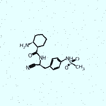 CS(=O)(=O)Nc1ccc(C[C@@H](C#N)NC(=O)[C@@H]2CCCC[C@@H]2N)cc1